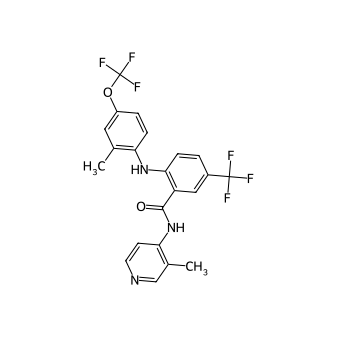 Cc1cnccc1NC(=O)c1cc(C(F)(F)F)ccc1Nc1ccc(OC(F)(F)F)cc1C